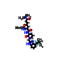 C=C(C)C(F)(F)c1cccc2[nH]c(Cn3cccc(NC(=O)C(CC/C=C/C(=O)N(C)C)NC(=O)OC)c3=O)nc12